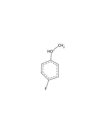 [CH2-][OH+]c1ccc(F)cc1